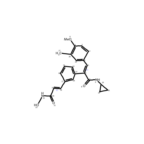 COc1ccc(/C=C(/C(=O)NC2CC2)c2cccc(/C=C/C(=O)NO)c2)cc1C